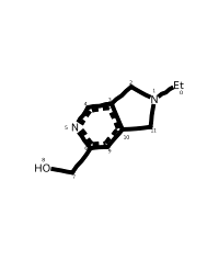 CCN1Cc2cnc(CO)cc2C1